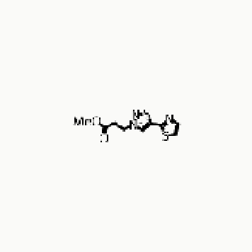 COC(=O)CC[n+]1cc(-c2nccs2)sn1